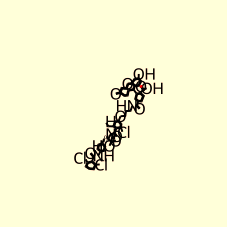 CCc1cc(OCCCNC(=O)c2ccc(C(=O)O)c(-c3c4ccc(=O)cc-4oc4cc(O)ccc34)c2)cc(Cl)c1C(=O)N[C@@H](Cc1ccc(NC(=O)c2c(Cl)cccc2Cl)cc1)C(=O)O